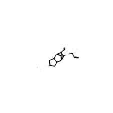 C=CC(=O)N1C(=O)C2C3CC(C4CC(OC(C)=O)CC43)C21